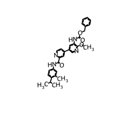 COc1ncc(-c2ccnc(C(=O)Nc3ccc(C(C)C)c(C)c3)c2)cc1NC(=O)OCc1ccccc1